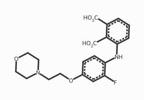 O=C(O)c1cccc(Nc2ccc(OCCN3CCOCC3)cc2F)c1C(=O)O